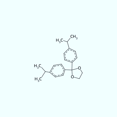 CC(C)c1ccc(C2(c3ccc(C(C)C)cc3)OCCO2)cc1